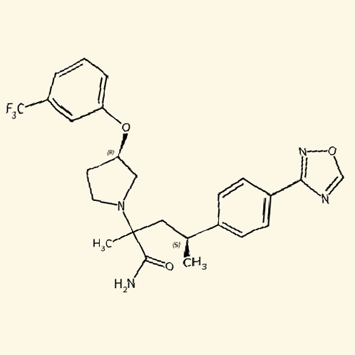 C[C@@H](CC(C)(C(N)=O)N1CC[C@@H](Oc2cccc(C(F)(F)F)c2)C1)c1ccc(-c2ncon2)cc1